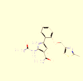 Cc1nc(COc2ccccc2-c2cc(C(N)=O)c(NC(N)=O)[nH]2)cs1